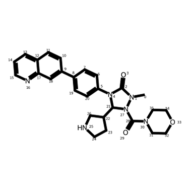 CN1C(=O)N(c2ccc(-c3ccc4cccnc4c3)cc2)C(C2CCNC2)N1C(=O)N1CCOCC1